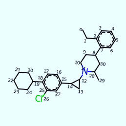 CCc1ccccc1C1CCN(C2CC2c2ccc(C3CCCCC3)c(Cl)c2)C(C)C1